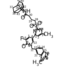 Cc1cc(-c2cc(F)c(=O)n(Cc3ccc4nnn(C)c4c3)c2)nc(S(=O)(=O)CCCC(=O)NC23CC4CC(CC(C4)C2)C3)n1